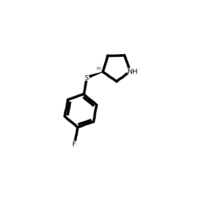 Fc1ccc(S[C@H]2CCNC2)cc1